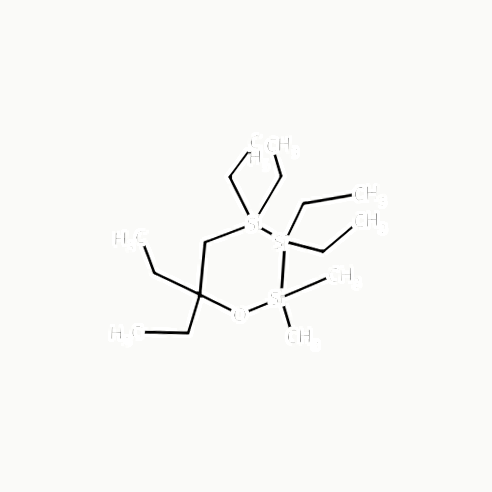 CCC1(CC)C[Si](CC)(CC)[Si](CC)(CC)[Si](C)(C)O1